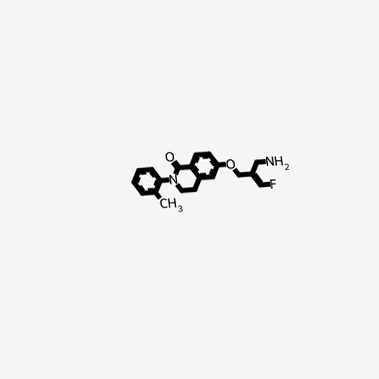 Cc1ccccc1N1CCc2cc(OC/C(=C/F)CN)ccc2C1=O